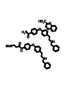 CSCCC(=O)Nc1ccc(Oc2ccc(CCNCc3ccccc3)cc2)cc1.NC(=O)c1ccc(Oc2ccc(CCNCc3ccccc3)cc2)cc1.O=C(O)c1cnc2ccccc2n1